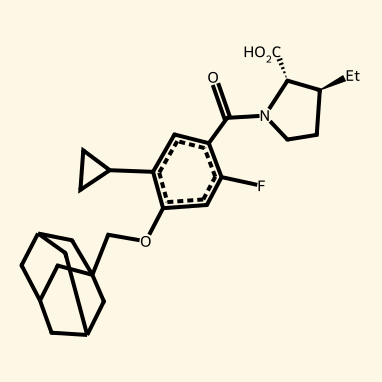 CC[C@H]1CCN(C(=O)c2cc(C3CC3)c(OCC34CC5CC(CC(C5)C3)C4)cc2F)[C@@H]1C(=O)O